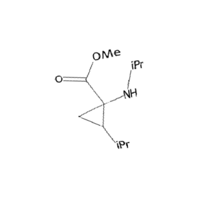 COC(=O)C1(NC(C)C)CC1C(C)C